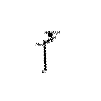 CCC=CCC=CCC=CCC=CCC=CCCCCSC(OC)C(=O)NCCOC(=O)Nc1ccc(O)c(C(=O)O)c1